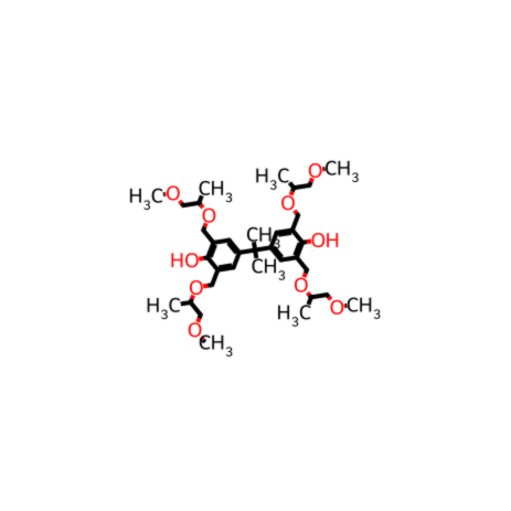 COCC(C)OCc1cc(C(C)(C)c2cc(COC(C)COC)c(O)c(COC(C)COC)c2)cc(COC(C)COC)c1O